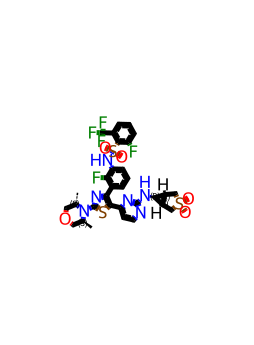 C[C@H]1COC[C@H](C)N1c1nc(-c2cccc(NS(=O)(=O)c3c(F)cccc3C(F)(F)F)c2F)c(-c2ccnc(N[C@H]3[C@@H]4CS(=O)(=O)C[C@@H]43)n2)s1